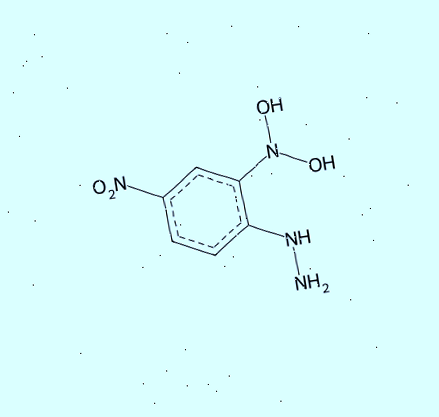 NNc1ccc([N+](=O)[O-])cc1N(O)O